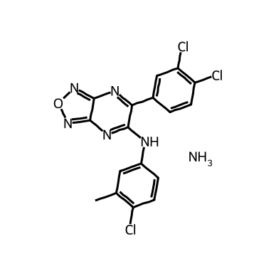 Cc1cc(Nc2nc3nonc3nc2-c2ccc(Cl)c(Cl)c2)ccc1Cl.N